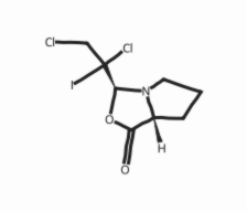 O=C1O[C@@H](C(Cl)(I)CCl)N2CCC[C@H]12